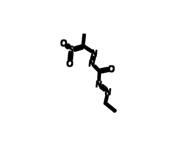 CCN=NC(=O)N=NC(C)=S(=O)=O